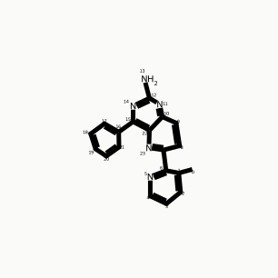 Cc1cccnc1-c1ccc2nc(N)nc(-c3ccccc3)c2n1